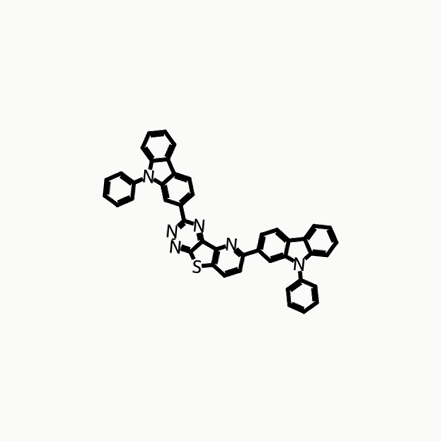 c1ccc(-n2c3ccccc3c3ccc(-c4ccc5sc6nnc(-c7ccc8c9ccccc9n(-c9ccccc9)c8c7)nc6c5n4)cc32)cc1